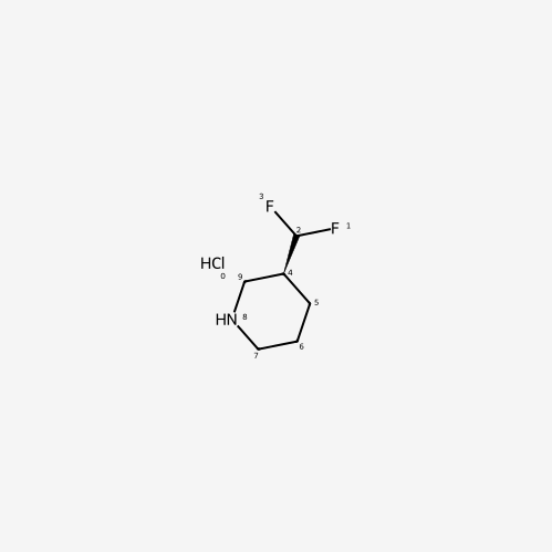 Cl.FC(F)[C@H]1CCCNC1